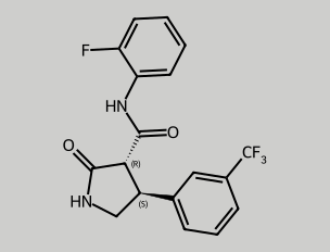 O=C1NC[C@H](c2cccc(C(F)(F)F)c2)[C@H]1C(=O)Nc1ccccc1F